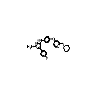 Nc1nc(Nc2ccc(Oc3ccnc(CN4CCCCC4)c3)cc2)cc(-c2ccc(F)cc2)n1